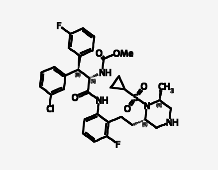 COC(=O)N[C@H](C(=O)Nc1cccc(F)c1CC[C@H]1CNC[C@H](C)N1S(=O)(=O)C1CC1)[C@H](c1cccc(F)c1)c1cccc(Cl)c1